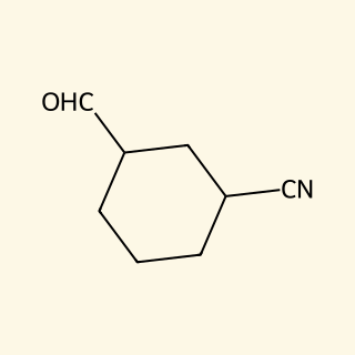 N#CC1CCCC(C=O)C1